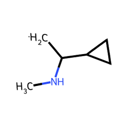 [CH2]C(NC)C1CC1